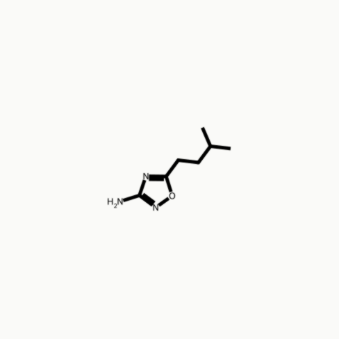 CC(C)CCc1nc(N)no1